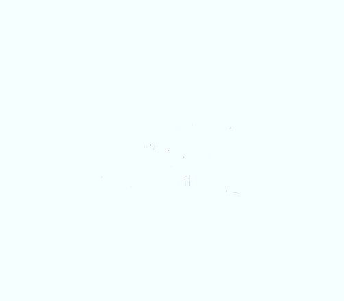 CCONCc1ccc(F)c(F)c1Nc1ccc(Cl)cc1F